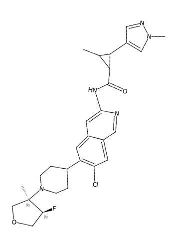 CC1C(C(=O)Nc2cc3cc(C4CCN([C@]5(C)COC[C@@H]5F)CC4)c(Cl)cc3cn2)C1c1cnn(C)c1